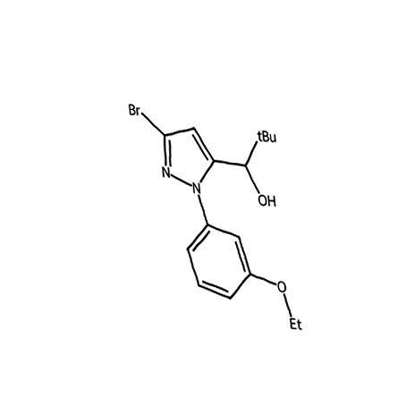 CCOc1cccc(-n2nc(Br)cc2C(O)C(C)(C)C)c1